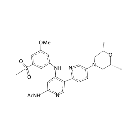 COc1cc(Nc2cc(NC(C)=O)ncc2-c2ccc(N3C[C@@H](C)O[C@@H](C)C3)cn2)cc(S(C)(=O)=O)c1